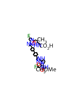 COC(=O)N[C@@H](CC(C)(C)F)C(=O)N1CCCC1c1ncc(-c2ccc(-c3ccc(-c4cnc([C@@H]5C[C@@H](F)CN5C(=O)CC(C)CCNC(=O)O)[nH]4)cc3)cc2)[nH]1